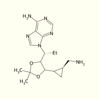 CC[C@H](C1OC(C)(C)OC1C1C[C@@H]1CN)n1cnc2c(N)ncnc21